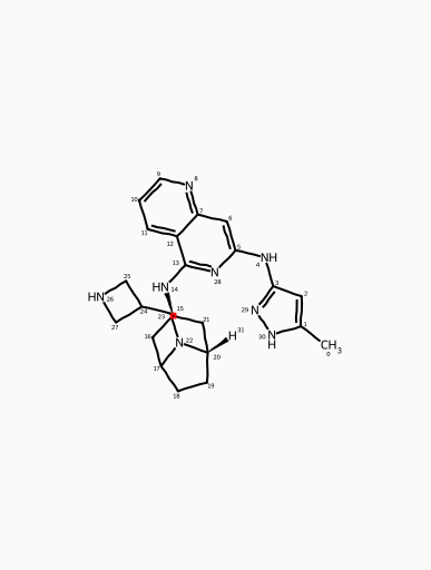 Cc1cc(Nc2cc3ncccc3c(N[C@@H]3CC4CC[C@@H](C3)N4CC3CNC3)n2)n[nH]1